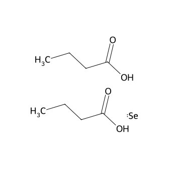 CCCC(=O)O.CCCC(=O)O.[Se]